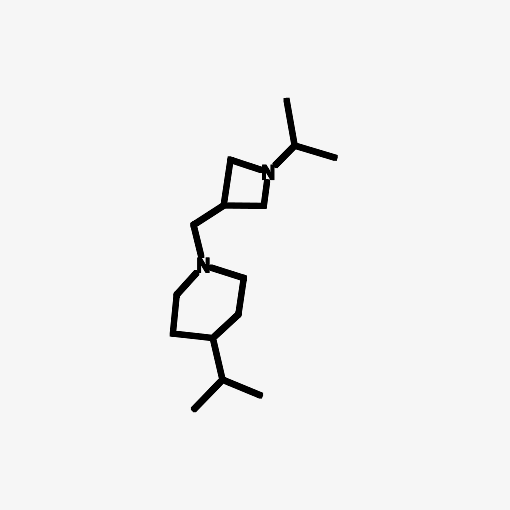 CC(C)C1CCN(CC2CN(C(C)C)C2)CC1